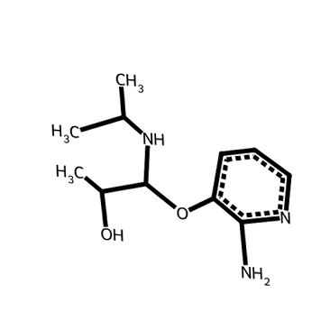 CC(C)NC(Oc1cccnc1N)C(C)O